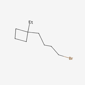 CCC1(CCCCBr)CCC1